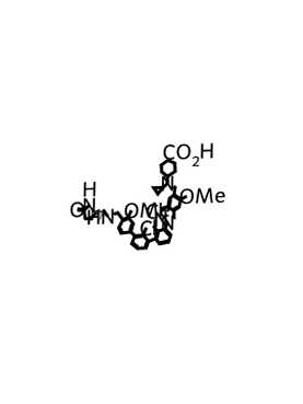 COc1cc(-c2cccc(-c3cccc4c3cnn4Cc3cc(OC)c(CN(C4CCC(C(=O)O)CC4)C4CC4)cc3Cl)c2Cl)ccc1CNC[C@@H]1CCC(=O)N1